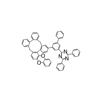 c1ccc(-c2cc(-c3ccc4c(c3)Cc3ccccc3-c3ccccc3Cc3ccc5c(c3-4)Oc3ccccc3O5)cc(-c3nc(-c4ccccc4)nc(-c4ccccc4)n3)c2)cc1